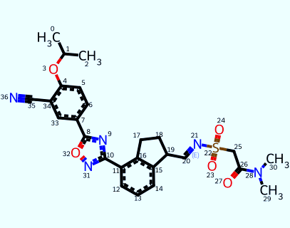 CC(C)Oc1ccc(-c2nc(-c3cccc4c3CCC4/C=N/S(=O)(=O)CC(=O)N(C)C)no2)cc1C#N